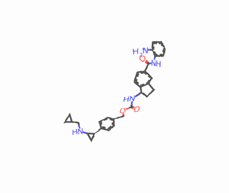 Nc1ccccc1NC(=O)c1ccc2c(c1)CCC2NC(=O)OCc1ccc([C@H]2CC2NCC2CC2)cc1